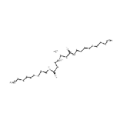 CCCCCCCCCCCCCCCCCCOC(=O)C[CH2][Sn+2][CH2]CC(=O)OCCCCCCCCCCCCCCCCCC.[S-2]